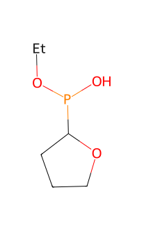 CCOP(O)C1CCCO1